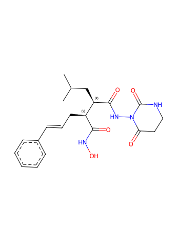 CC(C)C[C@@H](C(=O)NN1C(=O)CCNC1=O)[C@H](CC=Cc1ccccc1)C(=O)NO